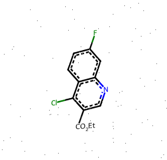 CCOC(=O)c1cnc2cc(F)ccc2c1Cl